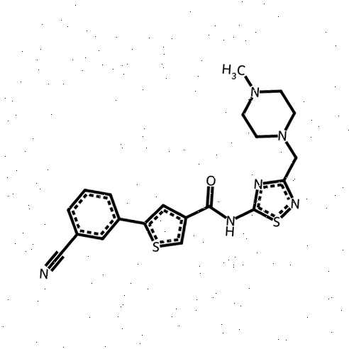 CN1CCN(Cc2nsc(NC(=O)c3csc(-c4cccc(C#N)c4)c3)n2)CC1